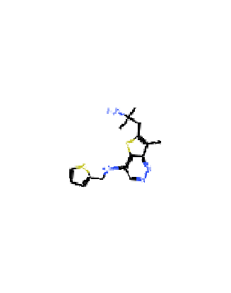 Cc1c(CC(C)(C)N)sc2c(NCc3cccs3)cnnc12